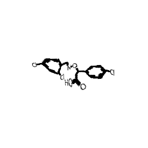 O=C(O)C(ON=Cc1ccc(Cl)cc1Cl)c1ccc(Cl)cc1